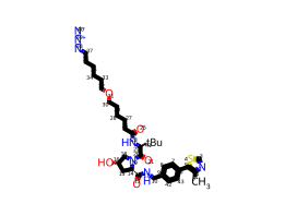 Cc1ncsc1-c1ccc(CNC(=O)[C@@H]2C[C@@H](O)CN2C(=O)[C@@H](NC(=O)CCCCCOCCCCCCN=[N+]=[N-])C(C)(C)C)cc1